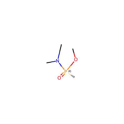 CO[P@@](C)(=O)N(C)C